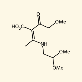 COCC(=O)C(C(=O)O)=C(C)NCC(OC)OC